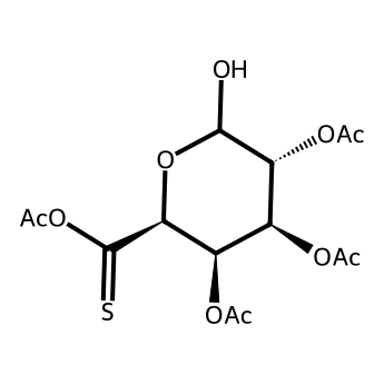 CC(=O)OC(=S)[C@H]1OC(O)[C@H](OC(C)=O)[C@@H](OC(C)=O)[C@H]1OC(C)=O